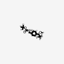 COC(c1ccc(CNC(=O)OC(C)(C)C)cc1)C(F)(F)F